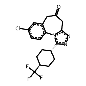 O=C1Cc2cc(Cl)ccc2-n2c(nnc2[C@H]2CC[C@H](C(F)(F)F)CC2)C1